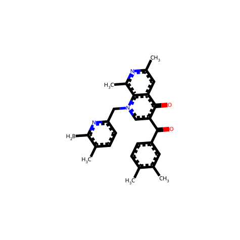 Bc1nc(Cn2cc(C(=O)c3ccc(C)c(C)c3)c(=O)c3cc(C)nc(C)c32)ccc1C